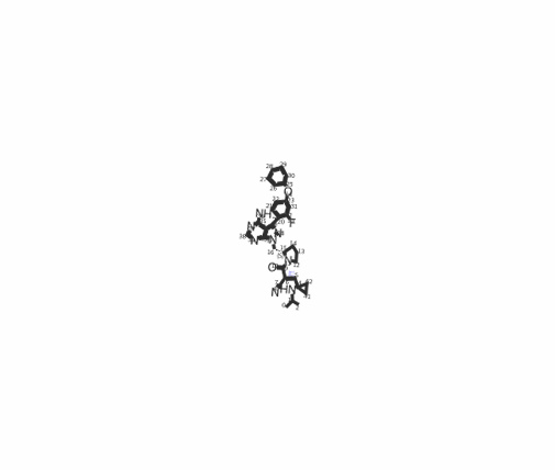 CC(C)NC1(/C=C(\C#N)C(=O)N2CCC[C@H]2Cn2nc(-c3ccc(Oc4ccccc4)cc3F)c3c(N)ncnc32)CC1